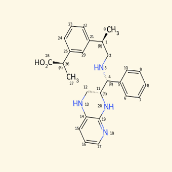 C[C@@H](CN[C@H](c1ccccc1)[C@H]1CNc2cccnc2N1)c1cccc([C@@H](C)C(=O)O)c1